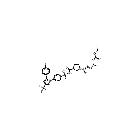 CCOC(=O)OC(C)O/N=[N+](\[O-])N1CCC(C(=O)NS(=O)(=O)c2ccc(-n3nc(C(F)(F)F)cc3-c3ccc(C)cc3)cc2)C1